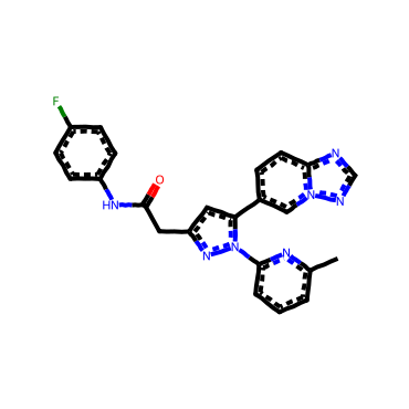 Cc1cccc(-n2nc(CC(=O)Nc3ccc(F)cc3)cc2-c2ccc3ncnn3c2)n1